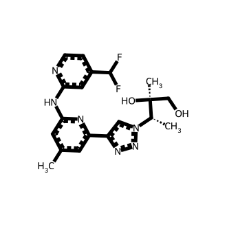 Cc1cc(Nc2cc(C(F)F)ccn2)nc(-c2cn([C@@H](C)[C@@](C)(O)CO)nn2)c1